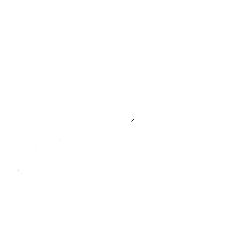 Cc1cc(CO[C@@H]2C[C@@H](COCCOCc3cccc(F)c3)N(C(=O)OC(C)(C)C)C2)nc(-n2c(C)ccc2C)c1